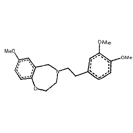 COc1ccc2c(c1)CN(CCc1ccc(OC)c(OC)c1)CCO2